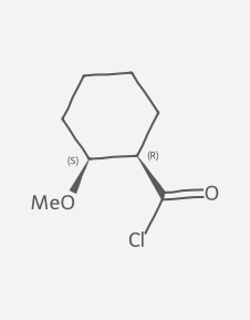 CO[C@H]1CCCC[C@H]1C(=O)Cl